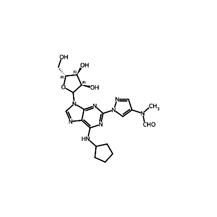 CN(C=O)c1cnn(-c2nc(NC3CCCC3)c3ncn(C4O[C@H](CO)[C@@H](O)[C@H]4O)c3n2)c1